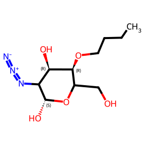 CCCCO[C@H]1C(CO)O[C@H](O)C(N=[N+]=[N-])[C@H]1O